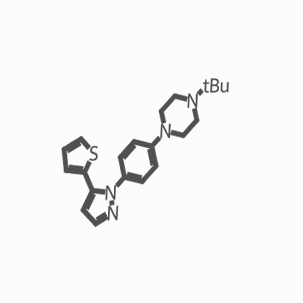 CC(C)(C)N1CCN(c2ccc(-n3nccc3-c3cccs3)cc2)CC1